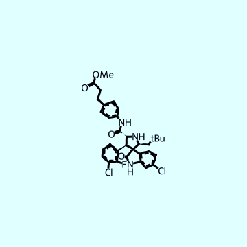 COC(=O)CCc1ccc(NC(=O)[C@@H]2N[C@@H](CC(C)(C)C)C3(C(=O)Nc4cc(Cl)ccc43)[C@H]2c2cccc(Cl)c2F)cc1